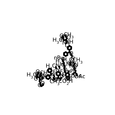 CC(=O)OCC(CCn1cnc2cnc(N)nc21)COC(C)=O.CCCCOCCOCCOCc1cc2c(cc1CCC)OCO2.CCn1cc(C(=O)O)c(=O)c2cc(F)c(N3CCNC(C)C3)c(F)c21.CN(C)CCOC(c1ccccc1)c1ccccc1.CN1C(=O)CN=C(c2ccccc2)c2cc([N+](=O)[O-])ccc21.Cn1c(=O)c2[nH]c(Cl)nc2n(C)c1=O.Cn1c(=O)c2c(ncn2CC2OCCO2)n(C)c1=O